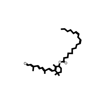 CCCCC/C=C\C/C=C\CCCCCCCC(=O)OC1CCC(C)(C)C(/C=C/C(C)=C/C=C/C(C)=C/C=O)=C1C